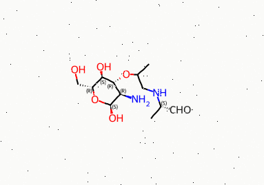 CC(CN[C@@H](C)[C]=O)O[C@@H]1[C@@H](N)[C@@H](O)O[C@H](CO)[C@H]1O